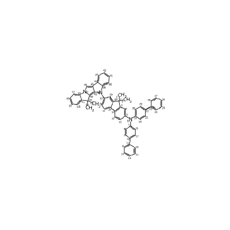 CC1(C)c2cc(N(c3ccc(-c4ccccc4)cc3)c3ccc(-c4ccccc4)cc3)ccc2-c2ccc(-n3c4ccccc4c4cn5c(c43)C(C)(C)c3ccccc3-5)cc21